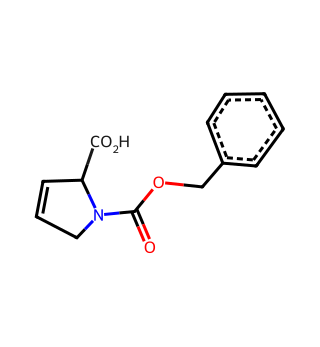 O=C(O)C1C=CCN1C(=O)OCc1ccccc1